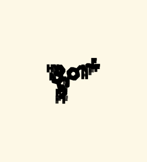 FC(F)(F)CNC[C@H]1CC[C@H](N2CN(CC(F)(F)F)Cc3cnc4[nH]ccc4c32)CC1